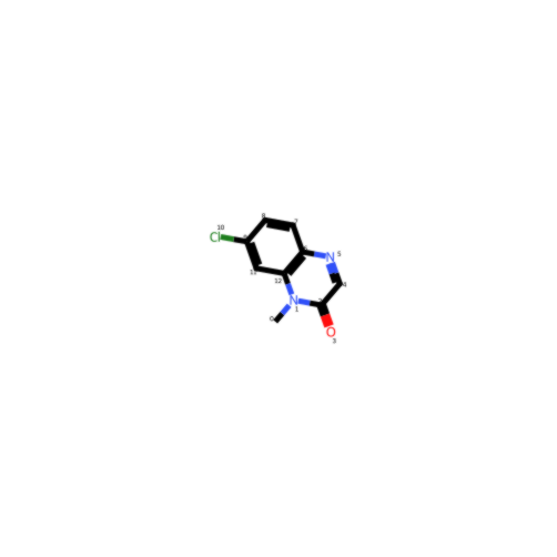 Cn1c(=O)cnc2ccc(Cl)cc21